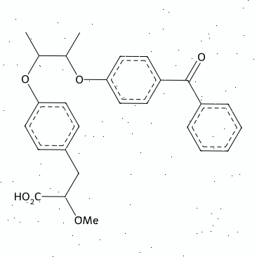 COC(Cc1ccc(OC(C)C(C)Oc2ccc(C(=O)c3ccccc3)cc2)cc1)C(=O)O